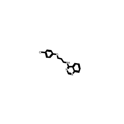 Clc1ccc(OCCCNc2ncnc3ccccc23)cc1